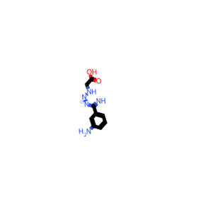 N=C(/N=N\NCC(=O)O)c1cccc(N)c1